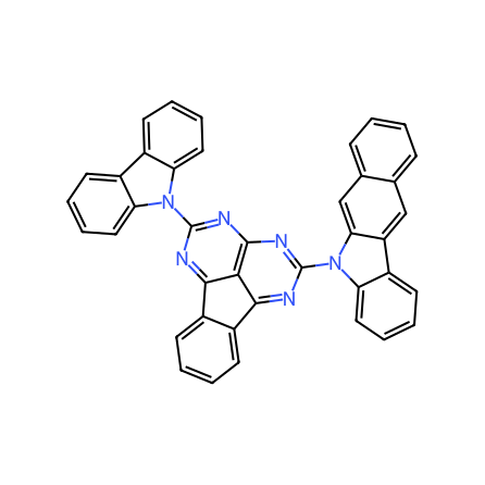 c1ccc2c(c1)-c1nc(-n3c4ccccc4c4ccccc43)nc3nc(-n4c5ccccc5c5cc6ccccc6cc54)nc-2c13